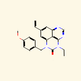 C=Cc1cc2c3c(ncnc3c1)N(CC)C(=O)N2Cc1ccc(OC)cc1